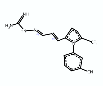 N#Cc1cccc(-n2c(/C=C/C=N/NC(=N)N)ccc2C(F)(F)F)c1